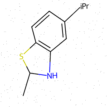 CC1Nc2cc(C(C)C)ccc2S1